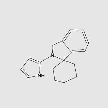 c1c[nH]c(N2Cc3ccccc3C23CCCCC3)c1